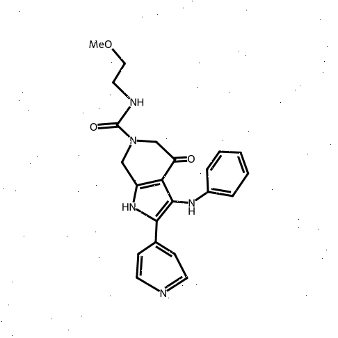 COCCNC(=O)N1CC(=O)c2c([nH]c(-c3ccncc3)c2Nc2ccccc2)C1